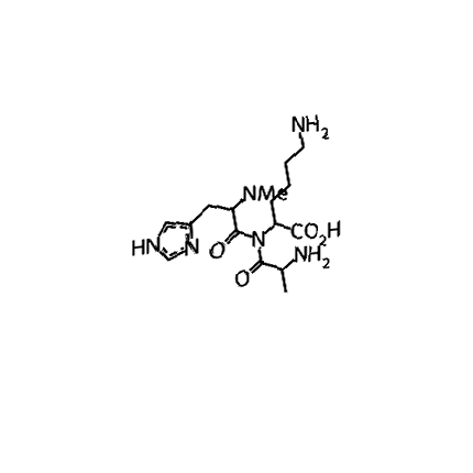 CNC(Cc1c[nH]cn1)C(=O)N(C(=O)C(C)N)C(CCCCN)C(=O)O